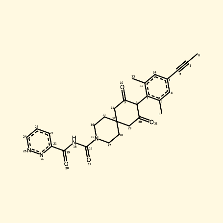 CC#Cc1cc(C)c(C2C(=O)CC3(CCN(C(=O)NC(=O)c4cccnn4)CC3)CC2=O)c(C)c1